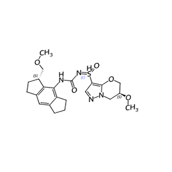 COC[C@H]1CCc2cc3c(c(NC(=O)/N=[SH](=O)\c4cnn5c4OC[C@@H](OC)C5)c21)CCC3